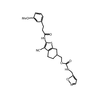 COc1cccc(CCC(=O)Nc2sc3c(c2C#N)CCC(COC(=O)NCc2ccno2)C3)c1